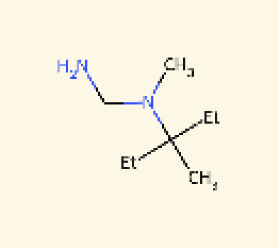 CCC(C)(CC)N(C)CN